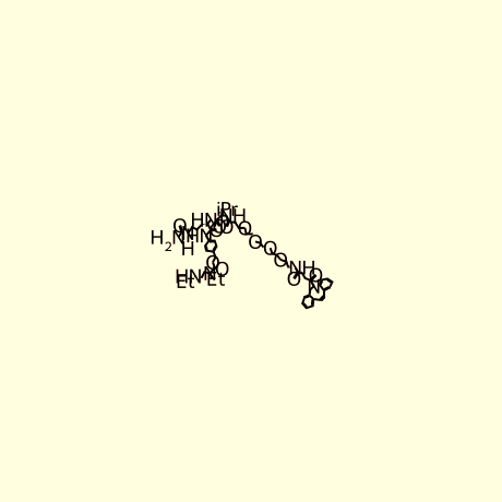 CCNCCN(CC)C(=O)OCc1ccc(NC(=O)[C@H](CCCNC(N)=O)NC(=O)[C@@H](NC(=O)CCOCCOCCOCCOCCNC(=O)CCC(=O)N2Cc3ccccc3C#Cc3ccccc32)C(C)C)cc1